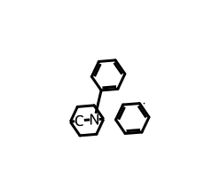 [c]1ccccc1.c1ccc(N2CC3CCC2CC3)cc1